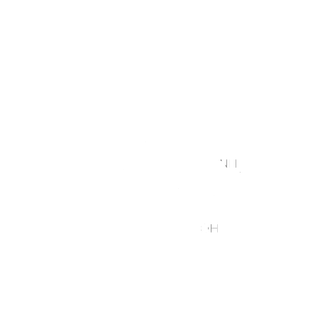 CC[C@H](CC[C@@](C)(N)O)C(C)C